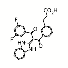 O=C(O)CCc1cccc(C(=O)C(C(=O)c2cc(F)cc(F)c2)=C2Nc3ccccc3N2)c1